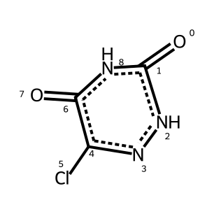 O=c1[nH]nc(Cl)c(=O)[nH]1